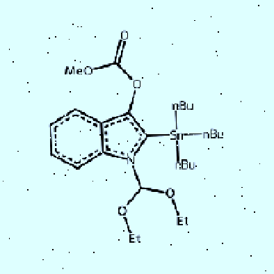 CCC[CH2][Sn]([CH2]CCC)([CH2]CCC)[c]1c(OC(=O)OC)c2ccccc2n1C(OCC)OCC